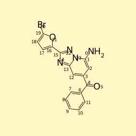 Nc1cc(C(=O)c2ccccc2)cc2nc(-c3ccc(Br)o3)nn12